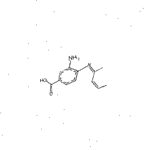 C/C=C\C(C)=N/c1ccc(C(=O)O)cc1N